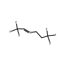 FC(F)(F)/C=N/CCC(F)(F)F